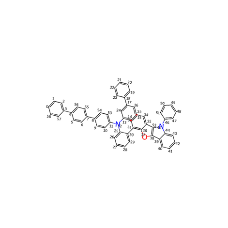 c1ccc(-c2ccc(-c3ccc(N(c4cccc(-c5ccccc5)c4)c4ccccc4-c4cccc5c4oc4c6ccccc6n(-c6ccccc6)c54)cc3)cc2)cc1